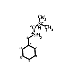 C[SiH](C)O[SiH2]CC1CCCCC1